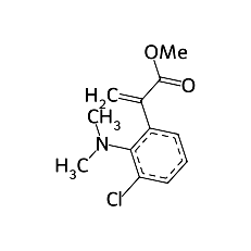 C=C(C(=O)OC)c1cccc(Cl)c1N(C)C